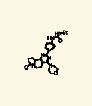 CCNC(=O)Nc1ccc(-c2nc3c(c(N4CCOCC4)n2)CCN2C(=O)CCC32)cc1